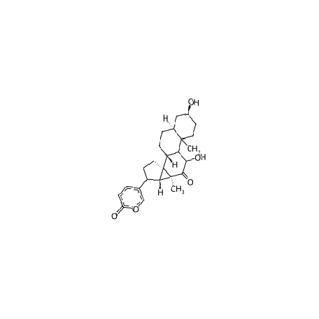 CC12CC[C@H](O)C[C@@H]1CC[C@@H]1C2C(O)C(=O)[C@@]2(C)[C@@H]3C(c4ccc(=O)oc4)CC[C@@]132